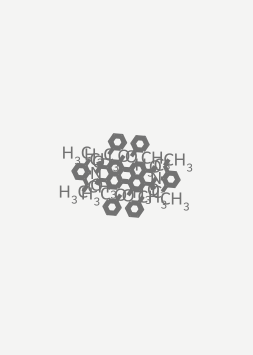 Cc1ccccc1Oc1cc2c3c(cc(Oc4ccccc4C)c4c5c(Oc6ccccc6C)cc6c7c(cc(Oc8ccccc8C)c(c1c34)c75)C(=O)N(c1c(C(C)C)cccc1C(C)C)C6=O)C(=O)N(c1c(C(C)C)cccc1C(C)C)C2=O